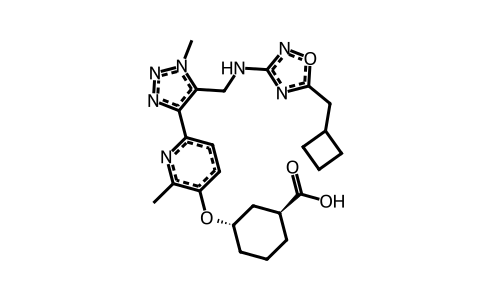 Cc1nc(-c2nnn(C)c2CNc2noc(CC3CCC3)n2)ccc1O[C@H]1CCC[C@H](C(=O)O)C1